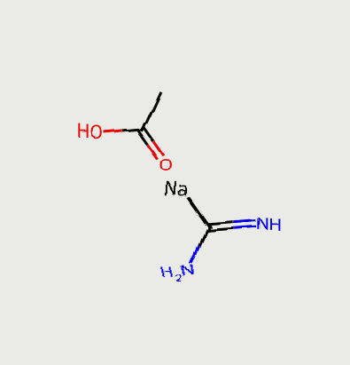 CC(=O)O.N=[C](N)[Na]